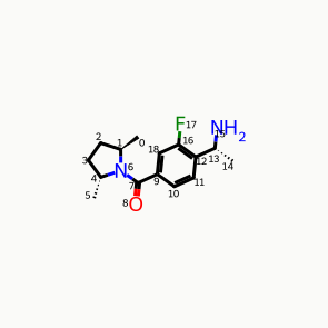 C[C@@H]1CC[C@@H](C)N1C(=O)c1ccc([C@@H](C)N)c(F)c1